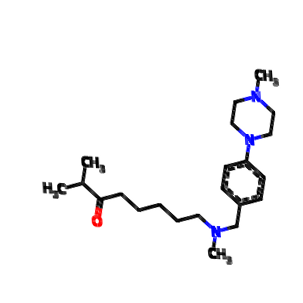 CC(C)C(=O)CCCCCN(C)Cc1ccc(N2CCN(C)CC2)cc1